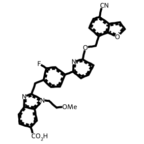 COCCn1c(Cc2ccc(-c3cccc(OCc4ccc(C#N)c5ccoc45)n3)cc2F)nc2ccc(C(=O)O)cc21